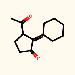 CC(=O)C1CCC(=O)C1=C1CCCCC1